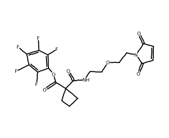 O=C1C=CC(=O)N1CCOCCNC(=O)C1(C(=O)Oc2c(F)c(F)c(F)c(F)c2F)CCC1